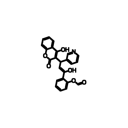 O=COc1ccccc1/C(O)=C/C(c1cccnc1)c1c(O)c2ccccc2oc1=O